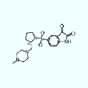 CN1CCN(C[C@@H]2CCCN2S(=O)(=O)c2ccc3c(c2)C(=O)C(=O)N3)CC1